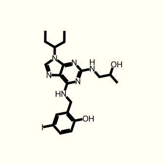 CCC(CC)n1cnc2c(NCc3cc(I)ccc3O)nc(NCC(C)O)nc21